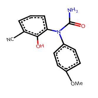 COc1ccc(N(C(N)=O)c2cccc(C#N)c2O)cc1